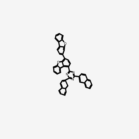 C1=CC2=CC=C(c3nc(-c4ccc5ccccc5c4)nc(-c4ccc(-c5ccc6c(c5)oc5ccccc56)c5oc6ccccc6c45)n3)CC2C=C1